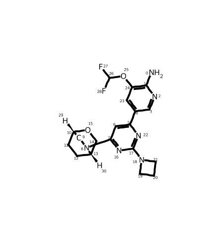 Nc1ncc(-c2cc(N3C[C@@H]4CC[C@H]3CO4)nc(N3CCC3)n2)cc1OC(F)F